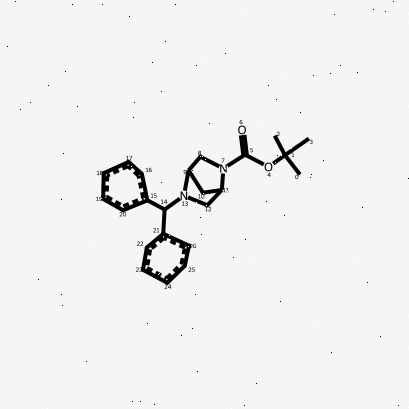 CC(C)(C)OC(=O)N1CC2CC1CN2C(c1ccccc1)c1ccccc1